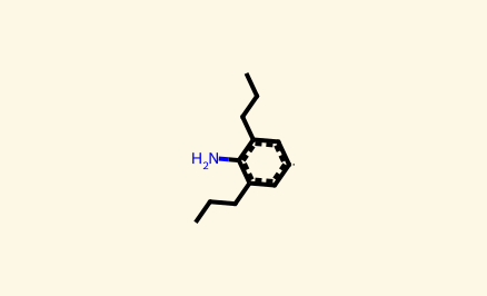 CCCc1c[c]cc(CCC)c1N